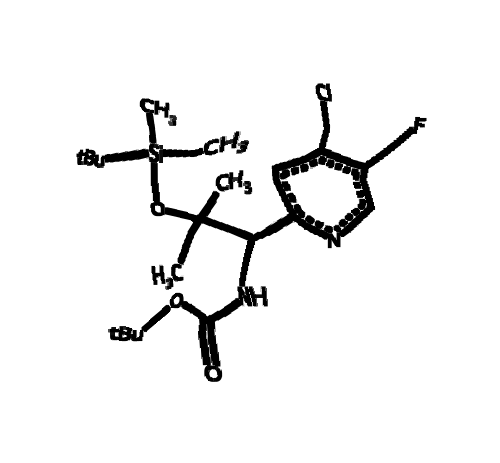 CC(C)(C)OC(=O)NC(c1cc(Cl)c(F)cn1)C(C)(C)O[Si](C)(C)C(C)(C)C